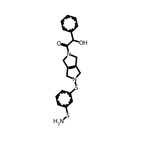 NSc1cccc(SN2CC3=C(C2)CN(C(=O)C(O)c2ccccc2)C3)c1